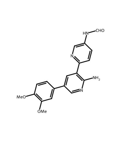 COc1ccc(-c2cnc(N)c(-c3ccc(NC=O)cn3)c2)cc1OC